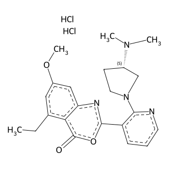 CCc1cc(OC)cc2nc(-c3cccnc3N3CC[C@H](N(C)C)C3)oc(=O)c12.Cl.Cl